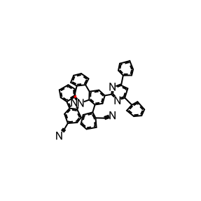 N#Cc1ccc2c(c1)c1ccccc1n2-c1c(-c2ccccc2C#N)cc(-c2nc(-c3ccccc3)cc(-c3ccccc3)n2)cc1-c1ccccc1C#N